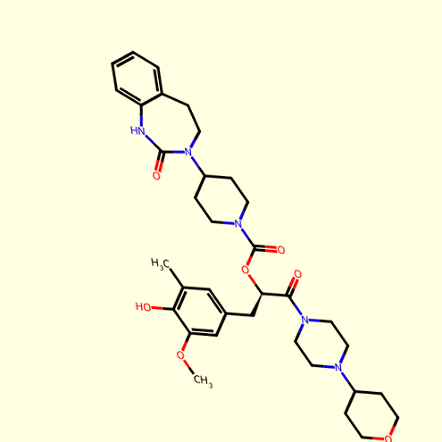 COc1cc(C[C@@H](OC(=O)N2CCC(N3CCc4ccccc4NC3=O)CC2)C(=O)N2CCN(C3CCOCC3)CC2)cc(C)c1O